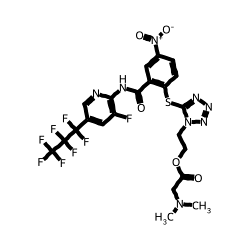 CN(C)CC(=O)OCCn1nnnc1Sc1ccc([N+](=O)[O-])cc1C(=O)Nc1ncc(C(F)(F)C(F)(F)C(F)(F)F)cc1F